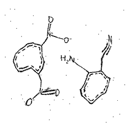 N#Cc1ccccc1N.O=[N+]([O-])c1cccc([N+](=O)[O-])c1